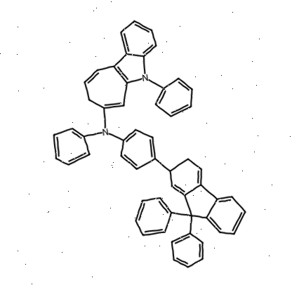 C1=Cc2c(n(-c3ccccc3)c3ccccc23)C=C(N(c2ccccc2)c2ccc(C3C=C4C(=CC3)c3ccccc3C4(c3ccccc3)c3ccccc3)cc2)C1